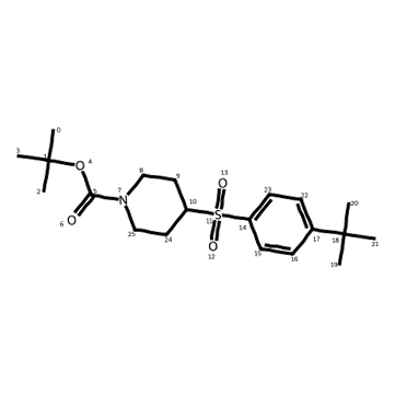 CC(C)(C)OC(=O)N1CCC(S(=O)(=O)c2ccc(C(C)(C)C)cc2)CC1